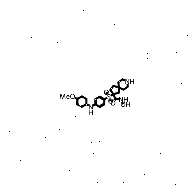 COC1CCC(Nc2ccc(S(=O)(=O)C3(C(=O)NO)CCC4(CCNCC4)C3)cc2)CC1